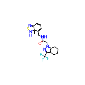 CC12NSN=C1C=CC=C2CNC(=O)Cn1nc(C(F)(F)F)c2c1CCCC2